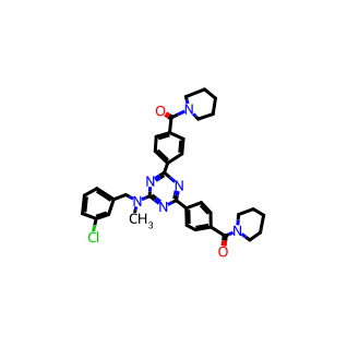 CN(Cc1cccc(Cl)c1)c1nc(-c2ccc(C(=O)N3CCCCC3)cc2)nc(-c2ccc(C(=O)N3CCCCC3)cc2)n1